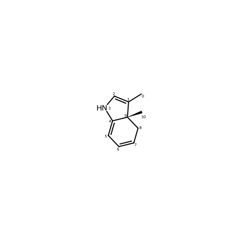 CC1=CNC2=CC=CC[C@@]12C